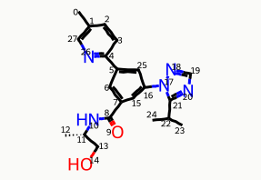 Cc1ccc(-c2cc(C(=O)N[C@@H](C)CO)cc(-n3ncnc3C(C)C)c2)nc1